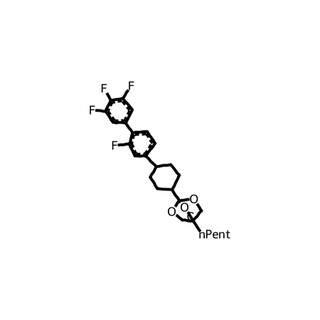 CCCCCC12COC(C3CCC(c4ccc(-c5cc(F)c(F)c(F)c5)c(F)c4)CC3)(OC1)OC2